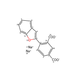 O=C([O-])c1ccc(-c2cc3ccccc3o2)c(C(=O)[O-])c1.[Na+].[Na+]